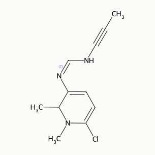 CC#CN/C=N\C1=CC=C(Cl)N(C)C1C